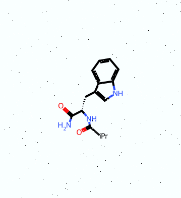 CC(C)C(=O)N[C@@H](Cc1c[nH]c2ccccc12)C(N)=O